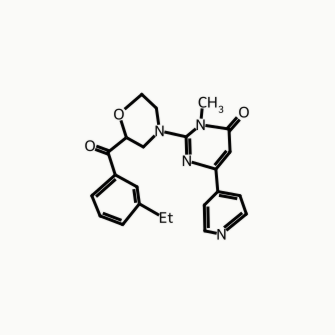 CCc1cccc(C(=O)C2CN(c3nc(-c4ccncc4)cc(=O)n3C)CCO2)c1